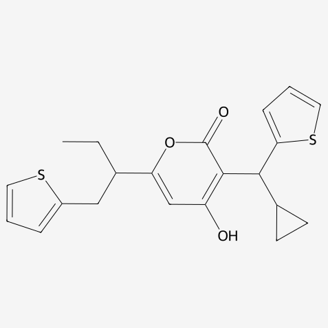 CCC(Cc1cccs1)c1cc(O)c(C(c2cccs2)C2CC2)c(=O)o1